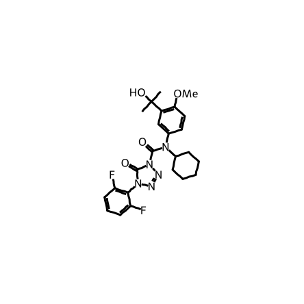 COc1ccc(N(C(=O)n2nnn(-c3c(F)cccc3F)c2=O)C2CCCCC2)cc1C(C)(C)O